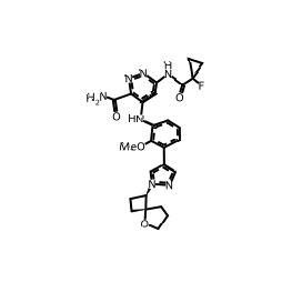 COc1c(Nc2cc(NC(=O)C3(F)CC3)nnc2C(N)=O)cccc1-c1cnn([C@@H]2CC[C@]23CCCO3)c1